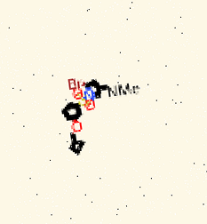 CNCc1cc(Br)n(S(=O)(=O)c2cccc(OCC3CCC3)c2)c1